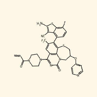 C=CC(=O)N1CCN(c2nc(=O)n3c4c(c(-c5ccc(F)c6sc(N)c(C#N)c56)c(C(F)(F)F)cc24)SCC(Oc2ccncc2)C3)CC1